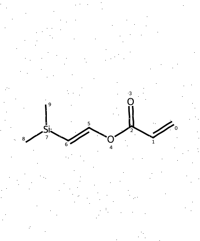 C=CC(=O)OC=C[Si](C)C